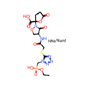 CCOP(=O)(O)Cn1nnnc1SCC(=O)N[C@H]1CON(C2(C(=O)O)CCC(=O)O2)C1=O.[NaH].[NaH]